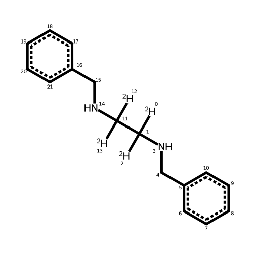 [2H]C([2H])(NCc1ccccc1)C([2H])([2H])NCc1ccccc1